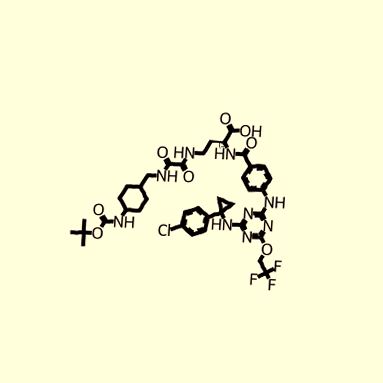 CC(C)(C)OC(=O)NC1CCC(CNC(=O)C(=O)NCC[C@H](NC(=O)c2ccc(Nc3nc(NC4(c5ccc(Cl)cc5)CC4)nc(OCC(F)(F)F)n3)cc2)C(=O)O)CC1